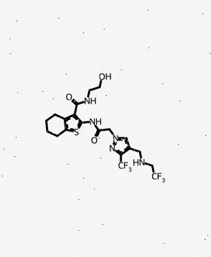 O=C(Cn1cc(CNCC(F)(F)F)c(C(F)(F)F)n1)Nc1sc2c(c1C(=O)NCCO)CCCC2